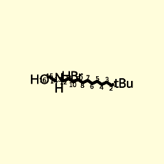 Br.CC(C)(C)CCCCCCCCCCCNCCO